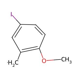 [CH2]c1cc(I)ccc1OC